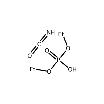 CCOP(=O)(O)OCC.N=C=O